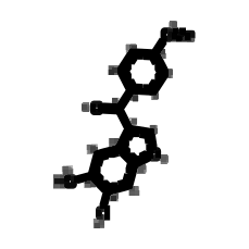 COc1ccc(C(=O)c2coc3cc(Cl)c(O)cc23)cc1